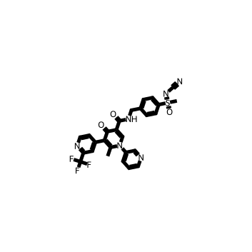 Cc1c(-c2ccnc(C(F)(F)F)c2)c(=O)c(C(=O)NCc2ccc(S(C)(=O)=NC#N)cc2)cn1-c1cccnc1